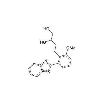 COc1cccc(-c2nc3ccccc3s2)c1CCC(O)CO